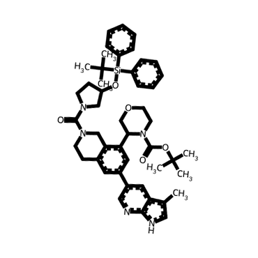 Cc1c[nH]c2ncc(-c3cc4c(c(C5COCCN5C(=O)OC(C)(C)C)c3)CN(C(=O)N3CCC(O[Si](c5ccccc5)(c5ccccc5)C(C)(C)C)C3)CC4)cc12